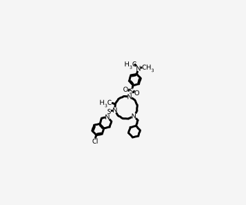 CC1CCN(S(=O)(=O)c2ccc(N(C)C)cc2)CCCN(CC2CCCCC2)CCCN1SN1CCc2cc(Cl)ccc2C1